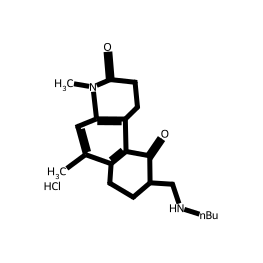 CCCCNCC1CCc2c(C)cc3c(c2C1=O)CCC(=O)N3C.Cl